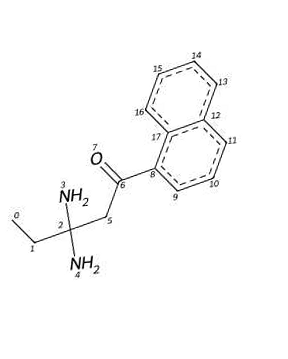 CCC(N)(N)CC(=O)c1cccc2ccccc12